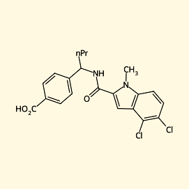 CCCC(NC(=O)c1cc2c(Cl)c(Cl)ccc2n1C)c1ccc(C(=O)O)cc1